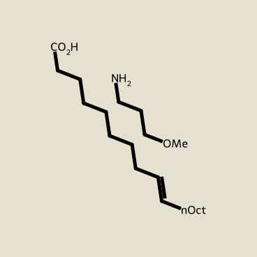 CCCCCCCCC=CCCCCCCCC(=O)O.COCCCN